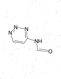 O=[C]Nc1ccnnn1